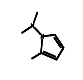 Cc1cccn1N(C)C